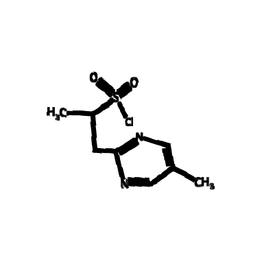 Cc1cnc(CC(C)S(=O)(=O)Cl)nc1